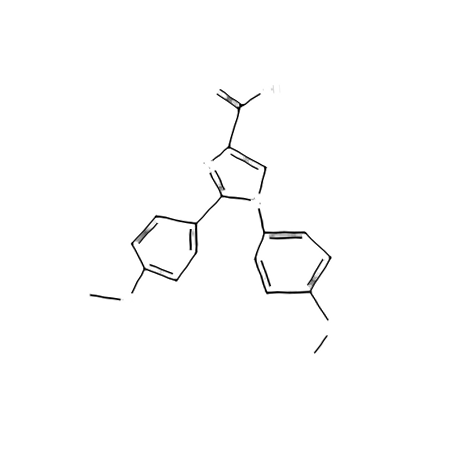 COc1ccc(-c2nc(C(=O)O)cn2-c2ccc(OC)cc2)cc1